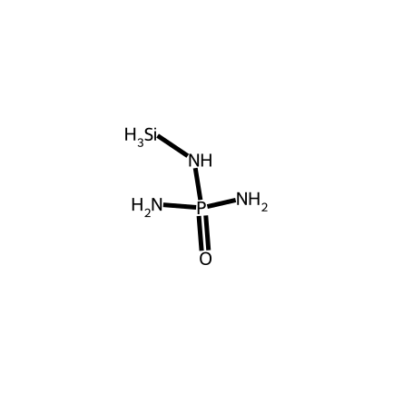 NP(N)(=O)N[SiH3]